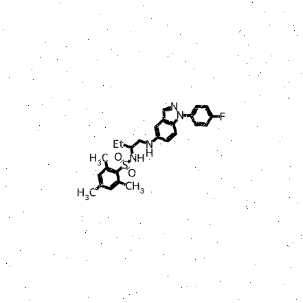 CCC(CNc1ccc2c(cnn2-c2ccc(F)cc2)c1)NS(=O)(=O)c1c(C)cc(C)cc1C